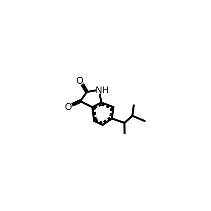 CC(C)C(C)c1ccc2c(c1)NC(=O)C2=O